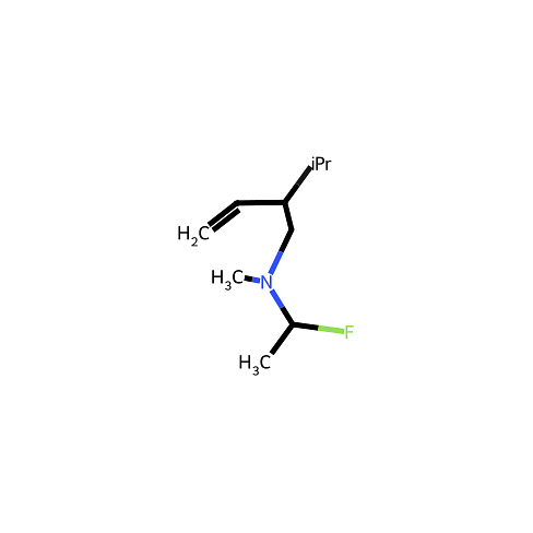 C=CC(CN(C)C(C)F)C(C)C